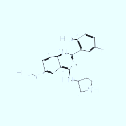 COc1ccc2nc(-c3cc(F)ccc3O)nc(NC3CCNC3)c2c1